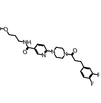 CCCCOCCCNC(=O)c1ccc(N2CCN(C(=O)CCc3ccc(F)c(F)c3)CC2)nc1